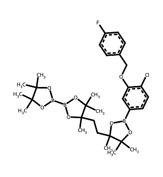 CC1(C)OB(B2OC(C)(C)C(C)(CCC3(C)OB(c4ccc(Cl)c(OCc5ccc(F)cc5)c4)OC3(C)C)O2)OC1(C)C